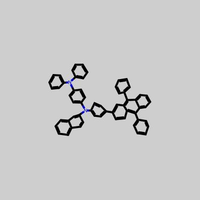 c1ccc(-c2c3ccccc3c(-c3ccccc3)c3cc(-c4ccc(N(c5ccc(N(c6ccccc6)c6ccccc6)cc5)c5ccc6ccccc6c5)cc4)ccc23)cc1